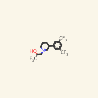 O[C@@H](CN1CCCC(c2cc(C(F)(F)F)cc(C(F)(F)F)c2)C1)C(F)(F)F